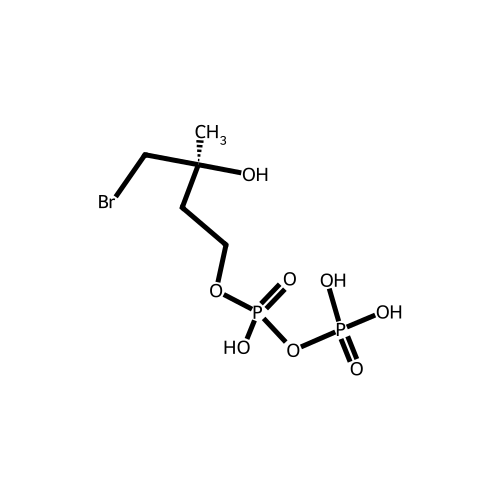 C[C@@](O)(CBr)CCOP(=O)(O)OP(=O)(O)O